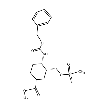 CC(C)(C)OC(=O)[C@@H]1CC[C@H](NC(=O)OCc2ccccc2)[C@H](COS(C)(=O)=O)C1